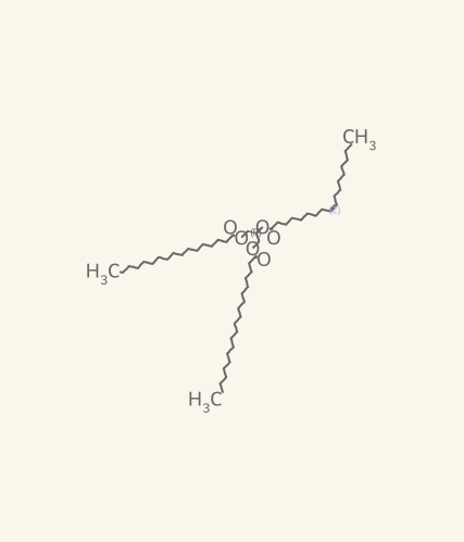 CCCCCCCCC/C=C\CCCCCCCC(=O)O[C@H](COC(=O)CCCCCCCCCCCCCCCC)COC(=O)CCCCCCCCCCCCCCCCCCC